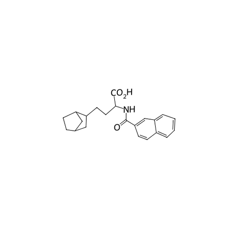 O=C(NC(CCC1CC2CCC1C2)C(=O)O)c1ccc2ccccc2c1